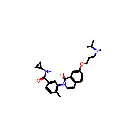 Cc1ccc(C(=O)NC2CC2)cc1-n1ccc2ccc(OCCCN(C)C(C)C)cc2c1=O